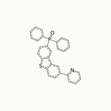 O=P(c1ccccc1)(c1ccccc1)c1ccc2sc3ccc(-c4ccccn4)cc3c2c1